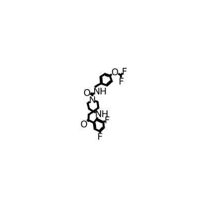 O=C1CC2(CCN(C(=O)NCc3ccc(OC(F)F)cc3)CC2)Nc2c(F)cc(F)cc21